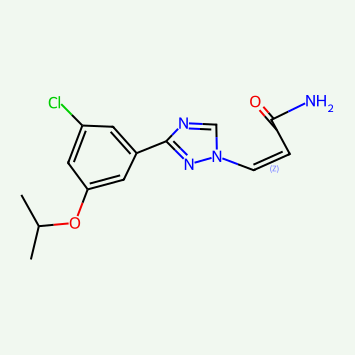 CC(C)Oc1cc(Cl)cc(-c2ncn(/C=C\C(N)=O)n2)c1